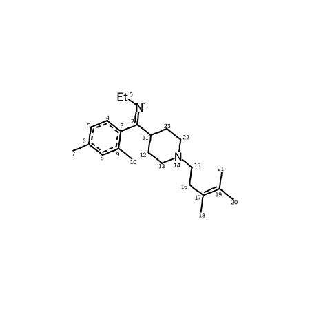 CC/N=C(\c1ccc(C)cc1C)C1CCN(CCC(C)=C(C)C)CC1